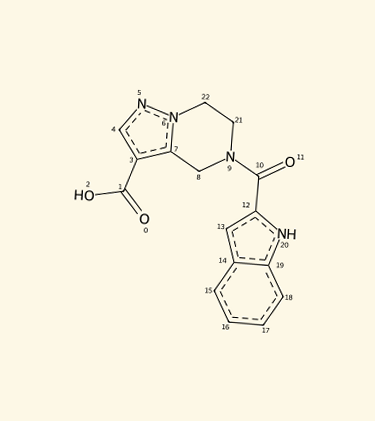 O=C(O)c1cnn2c1CN(C(=O)c1cc3ccccc3[nH]1)CC2